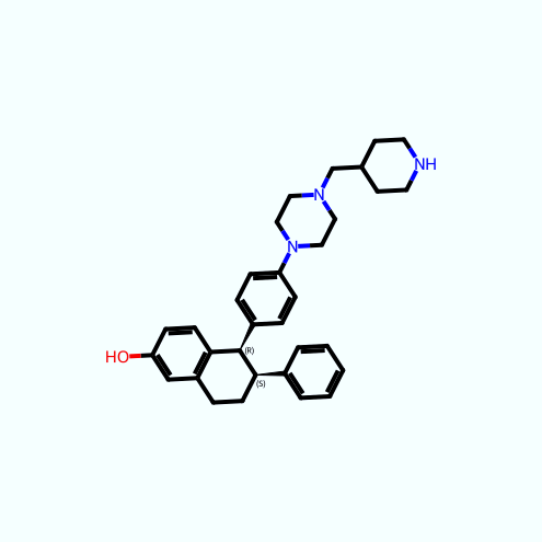 Oc1ccc2c(c1)CC[C@H](c1ccccc1)[C@@H]2c1ccc(N2CCN(CC3CCNCC3)CC2)cc1